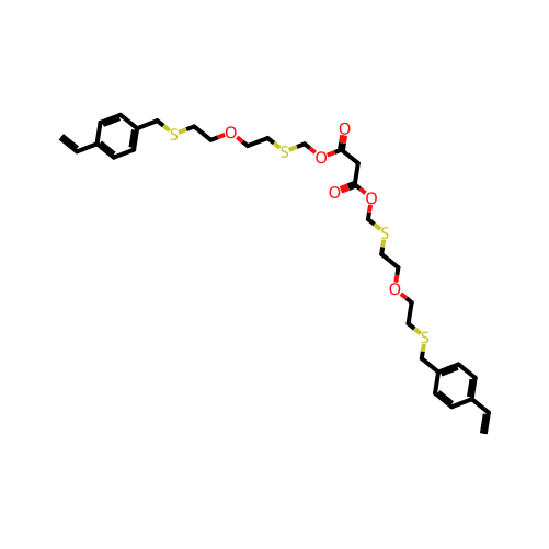 C=Cc1ccc(CSCCOCCSCOC(=O)CC(=O)OCSCCOCCSCc2ccc(C=C)cc2)cc1